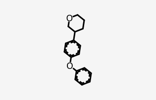 c1ccc(Oc2ccc(C3CCCOC3)cc2)cc1